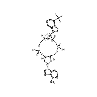 Nc1ncnc2c1ncn2[C@H]1C[C@@H]2OP(=O)(S)OC[C@H]3O[C@@H](n4nnc5c(C(F)(F)F)cccc54)[C@H](OP(=O)(S)OC[C@H]2O1)[C@@H]3O